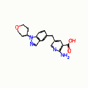 Nc1ncc(Cc2ccc3c(cnn3C3CCOCC3)c2)cc1C(=O)O